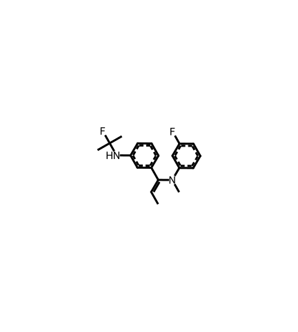 C/C=C(/c1cccc(NC(C)(C)F)c1)N(C)c1cccc(F)c1